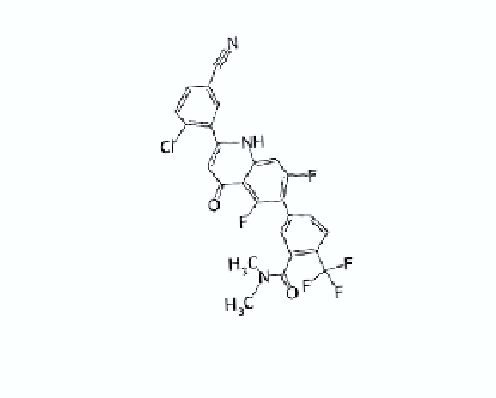 CN(C)C(=O)c1cc(-c2c(F)cc3[nH]c(-c4cc(C#N)ccc4Cl)cc(=O)c3c2F)ccc1C(F)(F)F